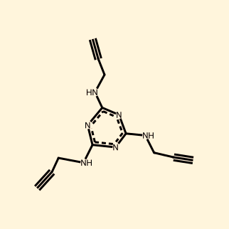 C#CCNc1nc(NCC#C)nc(NCC#C)n1